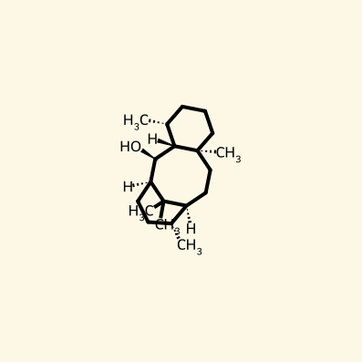 C[C@@H]1CCC[C@@]2(C)CC[C@H]3[C@H](C)CC[C@@H]([C@@H](O)[C@H]12)C3(C)C